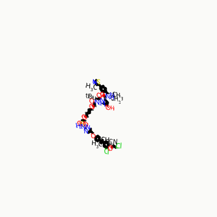 Cc1ncsc1-c1ccc([C@H](CN(C)C)NC(=O)[C@@H]2C[C@@H](O)CN2C(=O)[C@@H](NC(=O)COCCCCCOCCS(=O)(=O)Nc2ncc(COc3ccc(C(C)(C)c4cc(Cl)c(OCCCl)c(C#N)c4)cc3)cn2)C(C)(C)C)cc1